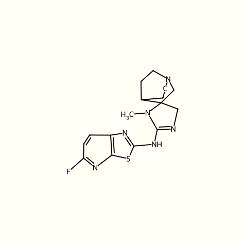 CN1C(Nc2nc3ccc(F)nc3s2)=NCC12CN1CCC2CC1